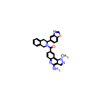 Cn1ncc2c(N)nc3ccc(C(=O)N4Cc5ccccc5CC4c4ccc5scnc5c4)cc3c21